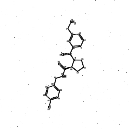 NCc1cccc(C(=O)N2CCC[C@H]2C(=O)NCc2ccc(Cl)cc2)c1